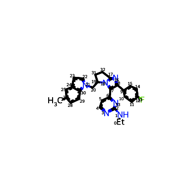 CCNc1nccc(-c2c(-c3ccc(F)cc3)nc3n2C(Cn2ccc4cc(C)ccc42)CC3)n1